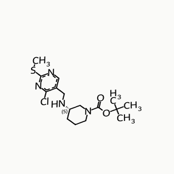 CSc1ncc(CN[C@H]2CCCN(C(=O)OC(C)(C)C)C2)c(Cl)n1